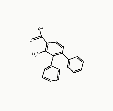 O=C(O)c1ccc(-c2ccccc2)c(-c2ccccc2)c1P